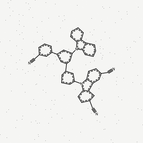 N#Cc1cccc(-c2cc(-c3cccc(-n4c5ccc(C#N)cc5c5cc(C#N)ccc54)c3)cc(-n3c4ccccc4c4ccccc43)c2)c1